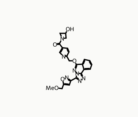 COCc1cc(-c2nnc3c4ccccc4c(OCc4ccc(C(=O)N5CC(O)C5)cn4)nn23)no1